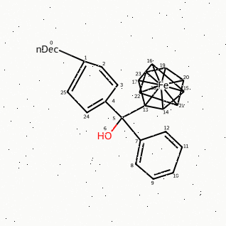 CCCCCCCCCCc1ccc(C(O)(c2ccccc2)[C]23[CH]4[CH]5[CH]6[CH]2[Fe]56432789[CH]3[CH]2[CH]7[CH]8[CH]39)cc1